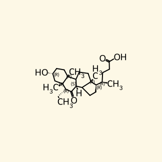 CC[C@H]1C(=O)[C@H]2C3CC[C@H]([C@H](C)CCC(=O)O)[C@@]3(C)CCC2[C@@]2(C)CC[C@@H](O)C[C@@]12C